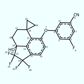 N#Cc1cc(F)cc(Oc2ccc3c4c2C2(CC2)CCC4(O)C(F)(F)C3(F)F)c1